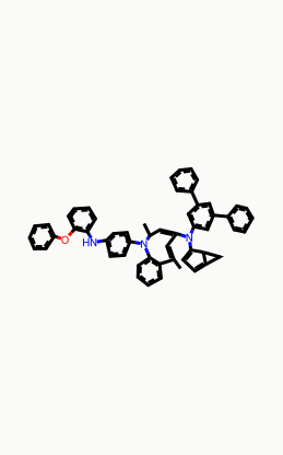 C/C1=C\C(N(C2=CC=C3CC32)c2cc(-c3ccccc3)cc(-c3ccccc3)c2)=C/C(C)N(c2ccc(Nc3ccccc3Oc3ccccc3)cc2)c2ccccc21